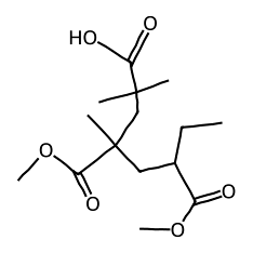 CCC(CC(C)(CC(C)(C)C(=O)O)C(=O)OC)C(=O)OC